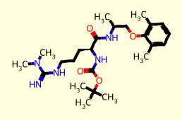 Cc1cccc(C)c1OCC(C)NC(=O)[C@H](CCCNC(=N)N(C)C)NC(=O)OC(C)(C)C